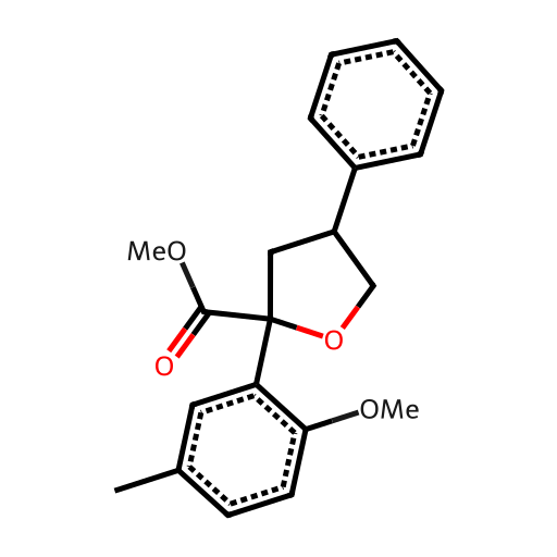 COC(=O)C1(c2cc(C)ccc2OC)CC(c2ccccc2)CO1